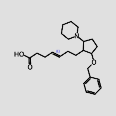 O=C(O)CC/C=C/CCC1C(OCc2ccccc2)CCC1N1CCCCC1